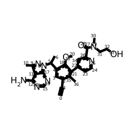 C#Cc1cc(C(C)n2nc(C)c3c(N)ncnc32)c(OC)c(-c2ccnc(C(=O)N(C)CCO)c2)c1C